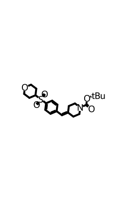 CC(C)(C)OC(=O)N1CCC(=Cc2ccc(S(=O)(=O)C3CCOCC3)cc2)CC1